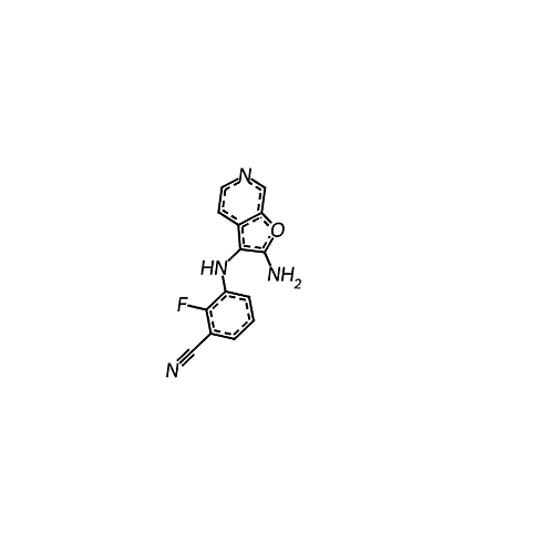 N#Cc1cccc(Nc2c(N)oc3cnccc23)c1F